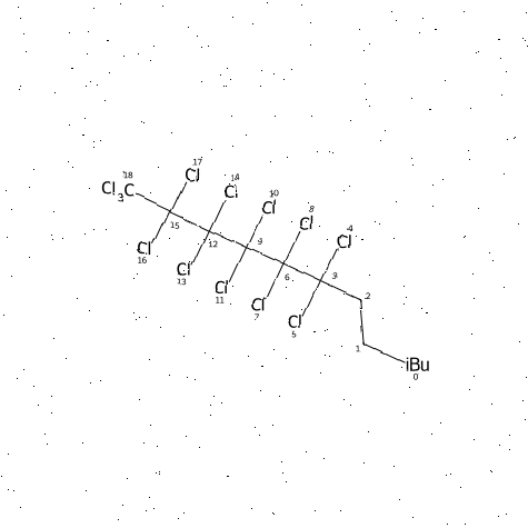 [CH2]CC(C)CCC(Cl)(Cl)C(Cl)(Cl)C(Cl)(Cl)C(Cl)(Cl)C(Cl)(Cl)C(Cl)(Cl)Cl